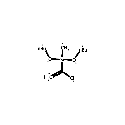 C=C(C)[Si](C)(OCCCC)OCCCC